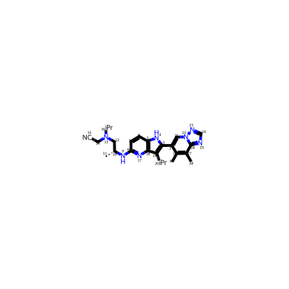 Cc1c(-c2[nH]c3ccc(N[C@H](C)CN(CC#N)C(C)C)nc3c2C(C)C)cn2ncnc2c1C